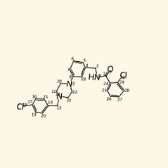 O=C(NCc1cccc(N2CCN(Cc3ccc(Cl)cc3)CC2)c1)c1ccccc1Cl